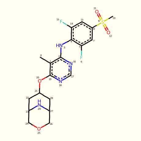 Cc1c(Nc2c(F)cc(S(C)(=O)=O)cc2F)ncnc1OC1CC2COCC(C1)N2